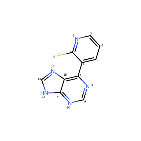 Fc1ncccc1-c1ncnc2[nH]cnc12